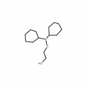 OCCON(C1CCCCC1)C1CCCCC1